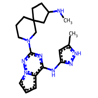 CNC1CCC2(CCCN(c3nc(Nc4cc(C)[nH]n4)c4cccn4n3)C2)C1